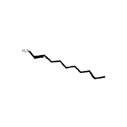 CCCCCCCCC=C[SiH3]